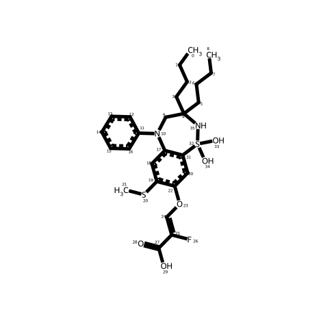 CCCCC1(CCCC)CN(c2ccccc2)c2cc(SC)c(O/C=C(\F)C(=O)O)cc2S(O)(O)N1